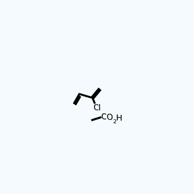 C=CC(=C)Cl.CC(=O)O